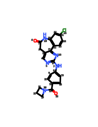 O=C1Cc2cnc(Nc3ccc(C(=O)N4CCC4)cc3)nc2-c2ccc(Cl)cc2N1